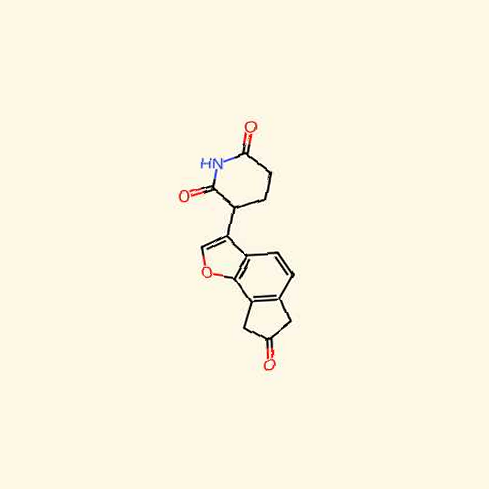 O=C1Cc2ccc3c(C4CCC(=O)NC4=O)coc3c2C1